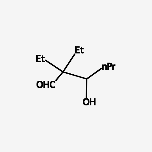 CCCC(O)C(C=O)(CC)CC